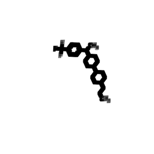 CCCC1CCC(C2CCC(C(C)c3ccc(C(F)(F)F)cc3)CC2)CC1